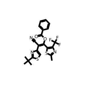 Cc1nc(C(F)(F)F)c(C(OC(=O)c2ccccc2)=C(C#N)c2csc(C(C)(C)C)n2)s1